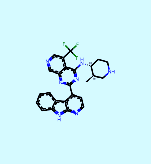 C[C@@H]1CNCC[C@H]1Nc1nc(-c2ccnc3[nH]c4ccccc4c23)nc2cncc(C(F)(F)F)c12